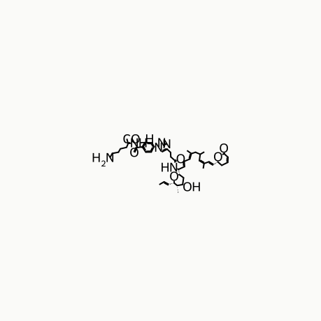 C/C=C/[C@@H]1O[C@H](C(/C=C/C=C(\C)CC(C)/C=C(C)\C=C\[C@H]2CC=CC(=O)O2)NC(=O)CCc2cn(-c3ccc(C(=O)NC(CCCCN)C(=O)O)cc3)nn2)C[C@@H](O)[C@@H]1C